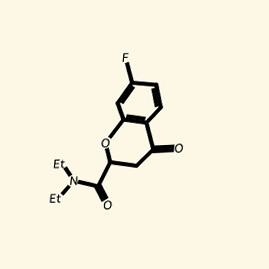 CCN(CC)C(=O)C1CC(=O)c2ccc(F)cc2O1